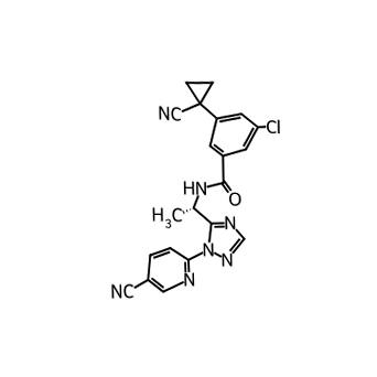 C[C@H](NC(=O)c1cc(Cl)cc(C2(C#N)CC2)c1)c1ncnn1-c1ccc(C#N)cn1